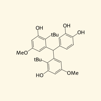 COc1cc(O)c(C(C)(C)C)c(C(c2ccc(O)c(O)c2)c2cc(OC)cc(O)c2C(C)(C)C)c1